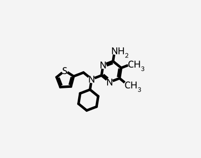 Cc1nc(N(Cc2cccs2)C2CCCCC2)nc(N)c1C